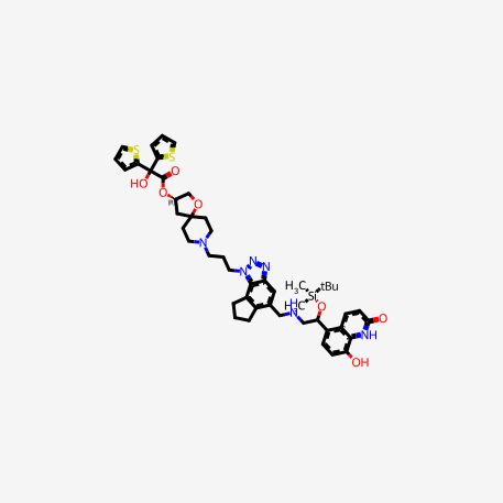 CC(C)(C)[Si](C)(C)OC(CNCc1cc2nnn(CCCN3CCC4(CC3)C[C@@H](OC(=O)C(O)(c3cccs3)c3cccs3)CO4)c2c2c1CCC2)c1ccc(O)c2[nH]c(=O)ccc12